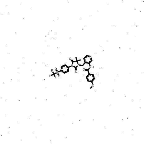 COc1ccc(C(=O)Nc2cnccc2CN2C(=O)N(c3ccc(S(=O)(=O)C(F)(F)F)cc3)C(=O)C2(C)C)cc1